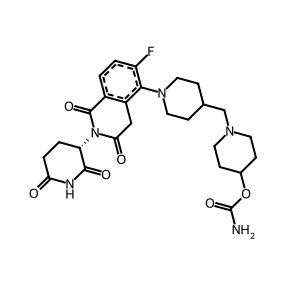 NC(=O)OC1CCN(CC2CCN(c3c(F)ccc4c3CC(=O)N([C@H]3CCC(=O)NC3=O)C4=O)CC2)CC1